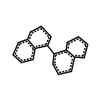 [c]1ccc2cccc(-c3cccc4ccccc34)c2c1